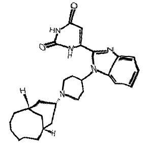 O=c1cc(-c2nc3ccccc3n2C2CCN([C@@H]3C[C@@H]4CCCC[C@@H](C4)C3)CC2)[nH]c(=O)[nH]1